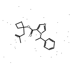 C=C(C)CC1(OC(=O)c2cncn2C(C)c2ccccc2)CCC1